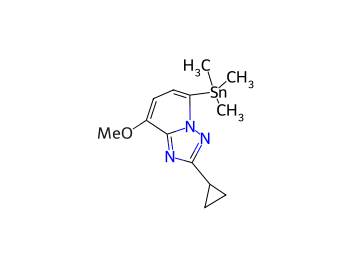 COc1cc[c]([Sn]([CH3])([CH3])[CH3])n2nc(C3CC3)nc12